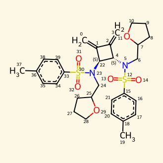 C=C1C(=C)[C@H](N(CC2CCCO2)S(=O)(=O)c2ccc(C)cc2)[C@H]1N(CC1CCCO1)S(=O)(=O)c1ccc(C)cc1